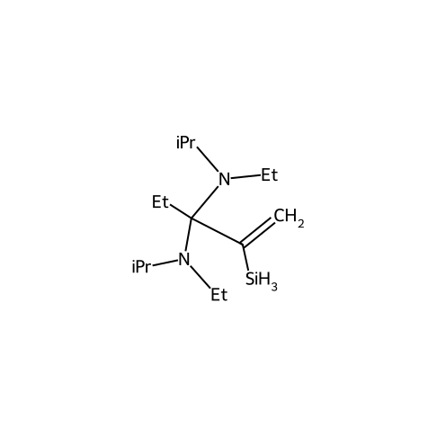 C=C([SiH3])C(CC)(N(CC)C(C)C)N(CC)C(C)C